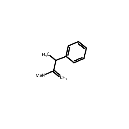 C=C(NC)C(C)c1ccccc1